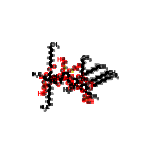 CCCCCCCCC(=O)OCC1O[C@@H](O[C@H]2[C@H](OC)C3OCC2(C(=O)O)O[C@H]3O[C@@H]2C(COC(=O)CCCCCCCC)O[C@H](OC)C(OSOOO)[C@H]2OC(=O)CCCCCCCC)C(OSOOO)[C@@H](OSOOO)[C@@H]1O[C@@H]1OC(CC)(C(=O)O)[C@@H](O[C@@H]2OC(COS(=O)(=O)O)[C@@H](OC(=O)CCCCCCCC)[C@H](OC(=O)CCCCCCCC)C2OC(=O)CCCCCCCC)[C@H](OC)C1OC(=O)CCCCCCCC